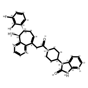 N[C@@H]1c2nccnc2C(CC(=O)N2CCC(n3c(=O)[nH]c4ncccc43)CC2)=CC[C@H]1c1cccc(F)c1F